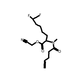 C=CCCC(=O)N(C)C(CCCCC(F)F)C(=O)OCC#N